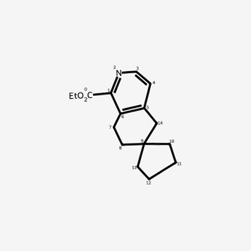 CCOC(=O)c1nccc2c1CCC1(CCCC1)C2